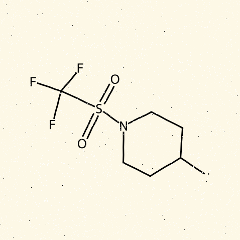 [CH2]C1CCN(S(=O)(=O)C(F)(F)F)CC1